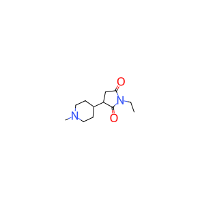 CCN1C(=O)CC(C2CCN(C)CC2)C1=O